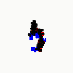 CNc1nc(C(=O)N[C@@H](C(=O)NCCNS(=O)(=O)c2ccc(C(N)=O)cc2)C(C)C)c(-c2ccc(C(C)(C)C)cc2)s1